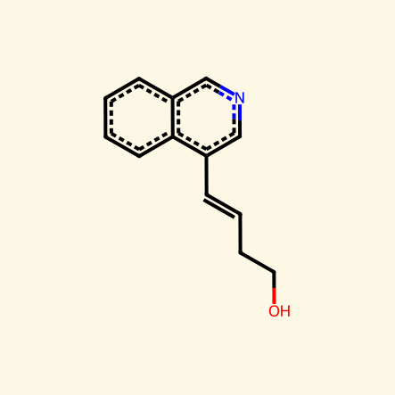 OCCC=Cc1cncc2ccccc12